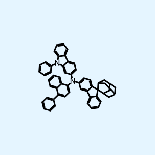 c1ccc(-c2ccc(N(c3ccc4c(c3)-c3ccccc3C43C4CC5CC(C4)CC3C5)c3ccc4c5ccccc5n(-c5ccccc5)c4c3)c3ccccc23)cc1